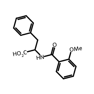 COc1ccccc1C(=O)NC(Cc1ccccc1)C(=O)O